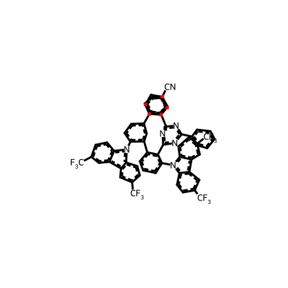 N#Cc1ccc(-c2ccc(-n3c4ccc(C(F)(F)F)cc4c4cc(C(F)(F)F)ccc43)c(-c3cccc(-n4c5ccc(C(F)(F)F)cc5c5cc(C(F)(F)F)ccc54)c3-c3nc(-c4ccccc4)nc(-c4ccccc4)n3)c2)cc1